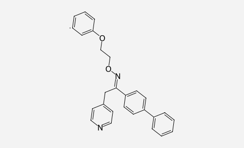 [c]1cccc(OCCO/N=C(\Cc2ccncc2)c2ccc(-c3ccccc3)cc2)c1